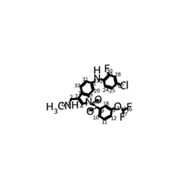 CNCc1cn(S(=O)(=O)c2cccc(OC(F)F)c2)c2cc(Nc3ccc(Cl)cc3F)ccc12